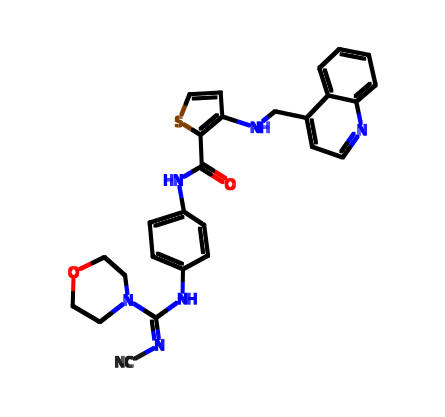 N#C/N=C(/Nc1ccc(NC(=O)c2sccc2NCc2ccnc3ccccc23)cc1)N1CCOCC1